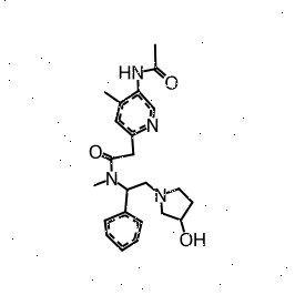 CC(=O)Nc1cnc(CC(=O)N(C)C(CN2CCC(O)C2)c2ccccc2)cc1C